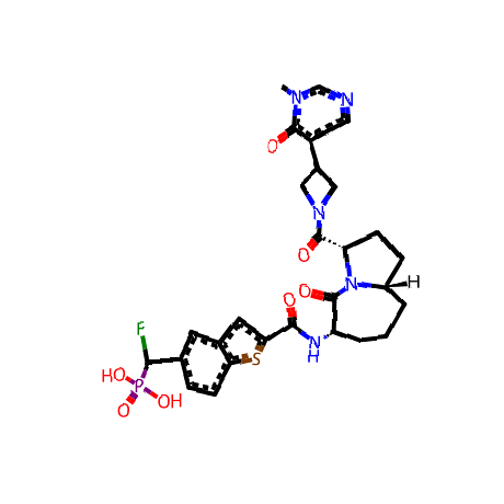 Cn1cncc(C2CN(C(=O)[C@@H]3CC[C@@H]4CCC[C@H](NC(=O)c5cc6cc(C(F)P(=O)(O)O)ccc6s5)C(=O)N43)C2)c1=O